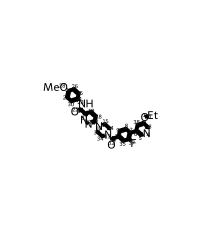 CCOc1cncc(-c2ccc(C(=O)N3CCN(c4ccc(C(=O)Nc5ccc(OC)cc5)nn4)CC3)cc2F)c1